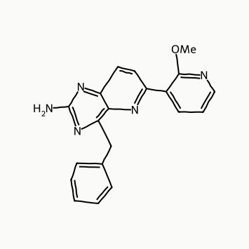 COc1ncccc1-c1ccc2nc(N)nc(Cc3ccccc3)c2n1